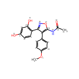 COc1ccc(-c2c(-c3ccc(O)cc3O)noc2NC(C)=O)cc1